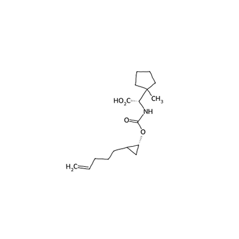 C=CCCCC1C[C@H]1OC(=O)N[C@H](C(=O)O)C1(C)CCCC1